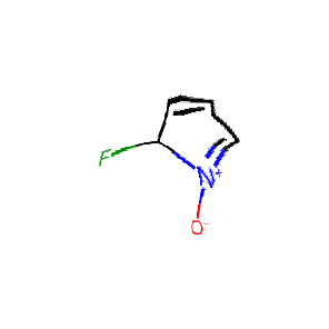 [O-][N+]1=CC=CC1F